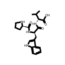 CC(C)[C@@H](NC(=O)[C@@H](Cc1c[nH]c2ccccc12)NC(=O)[C@H]1CCCN1)C(=O)O